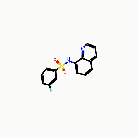 O=S(=O)(Nc1cccc2cccnc12)c1cccc(F)c1